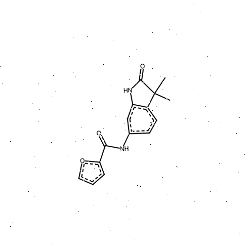 CC1(C)C(=O)Nc2cc(NC(=O)c3ccco3)ccc21